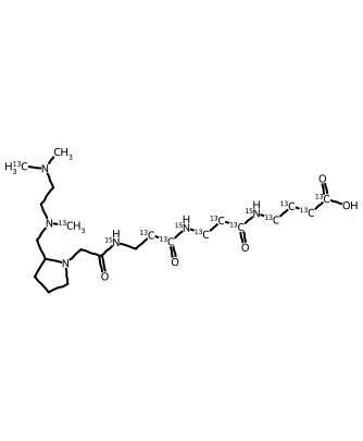 CN([13CH3])CCN([13CH3])CC1CCCN1CC(=O)[15NH]C[13CH2][13C](=O)[15NH][13CH2][13CH2][13C](=O)[15NH][13CH2][13CH2][13CH2][13C](=O)O